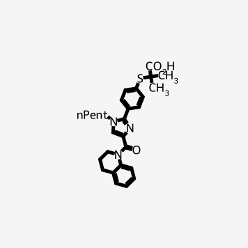 CCCCCn1cc(C(=O)N2CCCc3ccccc32)nc1-c1ccc(SC(C)(C)C(=O)O)cc1